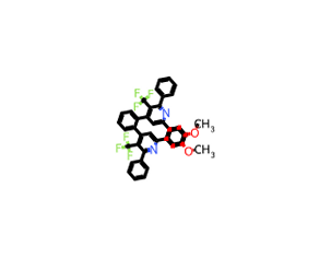 COc1ccc(-c2cc(-c3ccccc3-c3cc(-c4ccc(OC)cc4)nc(-c4ccccc4)c3C(F)(F)F)c(C(F)(F)F)c(-c3ccccc3)n2)cc1